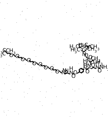 CCC(C)(C)SCC(CSC(C)(C)C)=NOCC(=O)N[C@H](C(=O)N[C@@H](CCCNC(N)=O)C(=O)Nc1ccc(COC(=O)NCc2cn(CCOCCOCCOCCOCCOCCOCCOCCOCCOCCC(C)(C)C)nn2)cc1)C(C)C